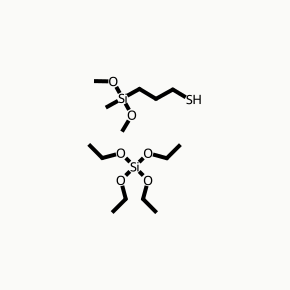 CCO[Si](OCC)(OCC)OCC.CO[Si](C)(CCCS)OC